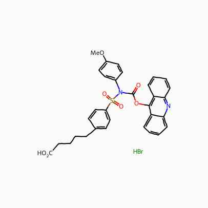 Br.COc1ccc(N(C(=O)Oc2c3ccccc3nc3ccccc23)S(=O)(=O)c2ccc(CCCCC(=O)O)cc2)cc1